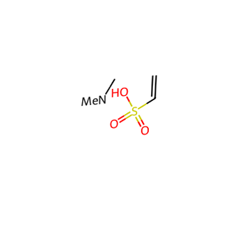 C=CS(=O)(=O)O.CNC